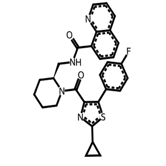 O=C(NC[C@@H]1CCCCN1C(=O)c1nc(C2CC2)sc1-c1ccc(F)cc1)c1cccc2cccnc12